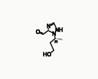 C[C@H](CCO)N1NC=NC1C=O